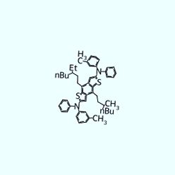 CCCCC(C)CCc1c2cc(N(c3ccccc3)c3cccc(C)c3)sc2c(CCC(CC)CCCC)c2cc(N(c3ccccc3)c3cccc(C)c3)sc12